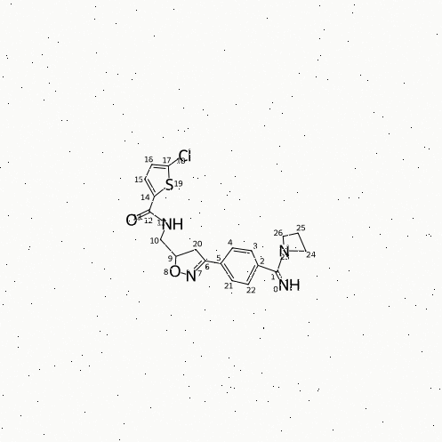 N=C(c1ccc(C2=NOC(CNC(=O)c3ccc(Cl)s3)C2)cc1)N1CCC1